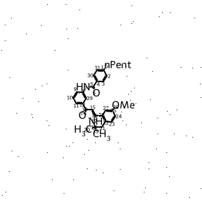 CCCCCc1ccc(C(=O)Nc2cccc(C(=O)C=C3NC(C)(C)Cc4ccc(OC)cc43)c2)cc1